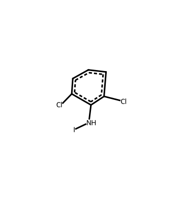 Clc1cccc(Cl)c1NI